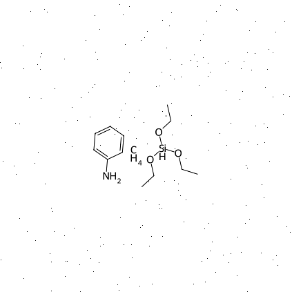 C.CCO[SiH](OCC)OCC.Nc1ccccc1